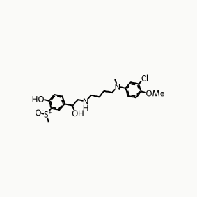 COc1ccc(N(C)CCCCNCC(O)c2ccc(O)c([S+](C)[O-])c2)cc1Cl